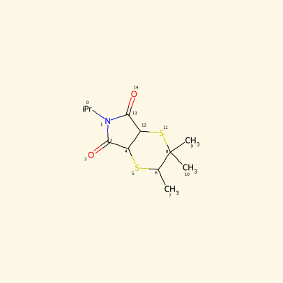 CC(C)N1C(=O)C2SC(C)C(C)(C)SC2C1=O